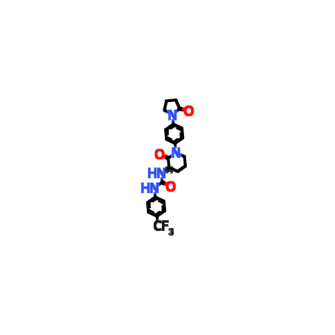 O=C(Nc1ccc(C(F)(F)F)cc1)N[C@@H]1CCCN(c2ccc(N3CCCC3=O)cc2)C1=O